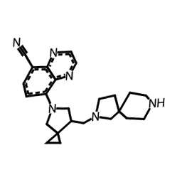 N#Cc1ccc(N2CC(CN3CCC4(CCNCC4)C3)C3(CC3)C2)c2nccnc12